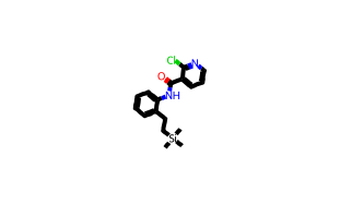 C[Si](C)(C)CCc1ccccc1NC(=O)c1cccnc1Cl